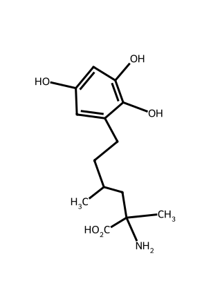 CC(CCc1cc(O)cc(O)c1O)CC(C)(N)C(=O)O